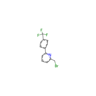 FC(F)(F)c1ccc(-c2cccc(CBr)n2)cc1